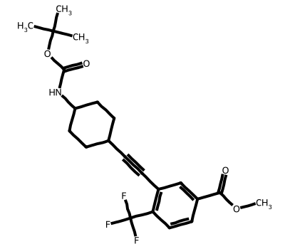 COC(=O)c1ccc(C(F)(F)F)c(C#CC2CCC(NC(=O)OC(C)(C)C)CC2)c1